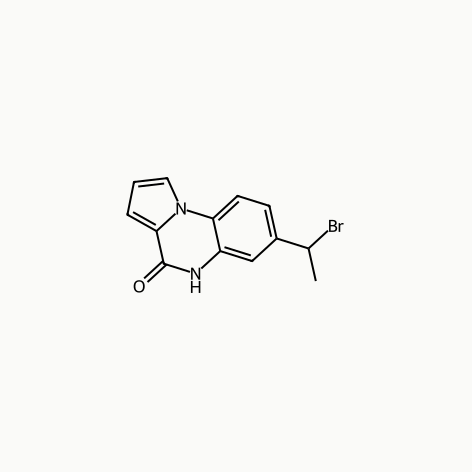 CC(Br)c1ccc2c(c1)[nH]c(=O)c1cccn12